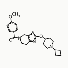 COc1ccc(C(=O)N2CCc3nc(OC4CCN(C5CCC5)CC4)sc3C2)cc1